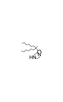 CCCCCCC(C)(CCCCCC)c1ccn2c1CNCC2